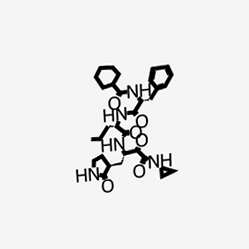 CCC[C@H](NC(=O)[C@@H](Cc1ccccc1)NC(=O)C1CCCCC1)C(=O)N[C@@H](C[C@@H]1CCNC1=O)C(=O)C(=O)NC1CC1